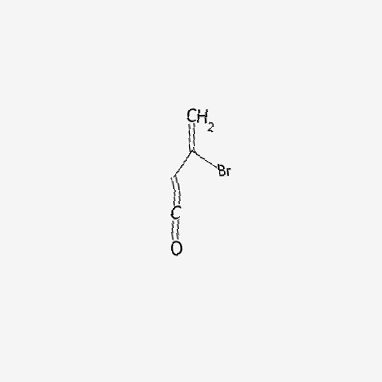 C=C(Br)C=C=O